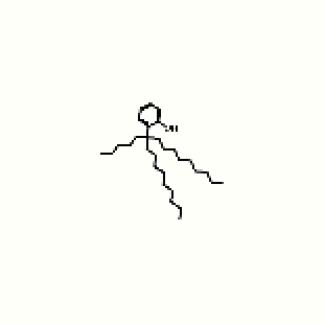 CCCCCCCCCC(CCCCC)(CCCCCCCCC)c1ccccc1O